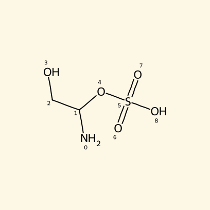 NC(CO)OS(=O)(=O)O